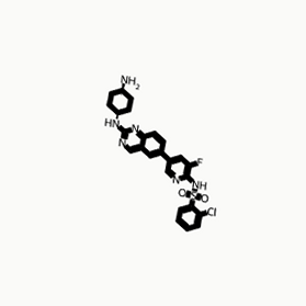 N[C@H]1CC[C@H](Nc2ncc3cc(-c4cnc(NS(=O)(=O)c5ccccc5Cl)c(F)c4)ccc3n2)CC1